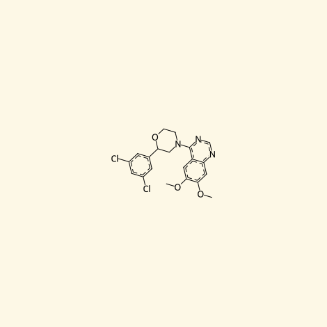 COc1cc2ncnc(N3CCOC(c4cc(Cl)cc(Cl)c4)C3)c2cc1OC